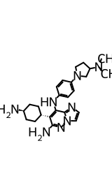 CN(C)C1CCN(c2ccc(Nc3c4nccn4nc(N)c3[C@H]3CC[C@H](N)CC3)cc2)C1